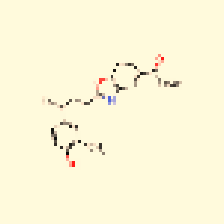 CCC(CCc1nc2cc(C(=O)OC)ccc2o1)c1ccc(O)c(C)c1